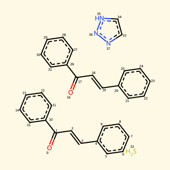 O=C(/C=C/c1ccccc1)c1ccccc1.O=C(/C=C/c1ccccc1)c1ccccc1.S.c1c[nH]nn1